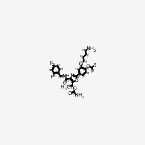 CC(OC(N)=O)c1oc(-c2ccc(OC(F)F)c(OCCCCN)c2)nc1C(=O)NCc1ccc(F)cc1F